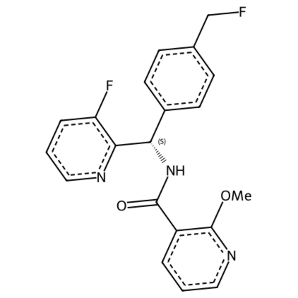 COc1ncccc1C(=O)N[C@@H](c1ccc(CF)cc1)c1ncccc1F